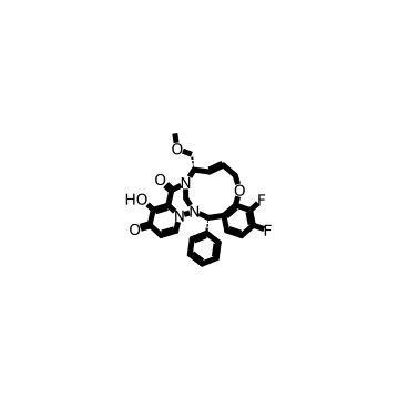 COC[C@@H]1/C=C/COc2c(ccc(F)c2F)[C@H](c2ccccc2)N2CN1C(=O)c1c(O)c(=O)ccn12